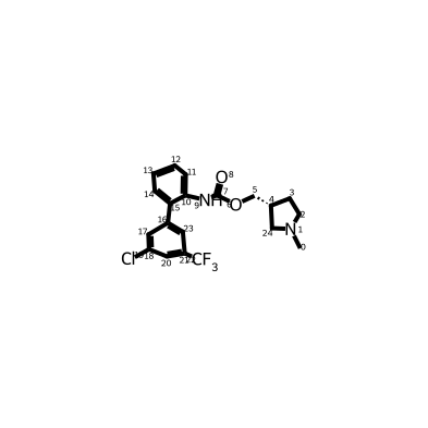 CN1CC[C@@H](COC(=O)Nc2ccccc2-c2cc(Cl)cc(C(F)(F)F)c2)C1